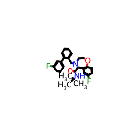 CC(C)(C)NC(=O)C1c2cc(F)ccc2OCCN1Cc1ccccc1-c1cccc(F)c1